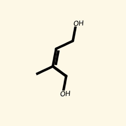 C/C(=C/CO)CO